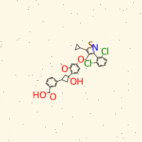 COc1cc(OCc2c(-c3c(Cl)cccc3Cl)nsc2C2CC2)ccc1C1(O)CC(c2cccc(C(=O)O)c2)C1